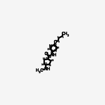 CCCCOc1ccc(NC(=O)C2CCC(NC)CC2)cn1